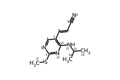 CSc1ncc(C=CC#N)c(NC(C)C)n1